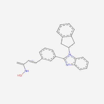 C=C(/C=C/c1cccc(-c2nc3ccccc3n2C2Cc3ccccc3C2)c1)NO